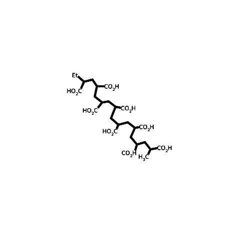 CCC(CC(CC(CC(CC(CC(CC(CC(C)C(=O)O)C(=O)O)C(=O)O)C(=O)O)C(=O)O)C(=O)O)C(=O)O)C(=O)O